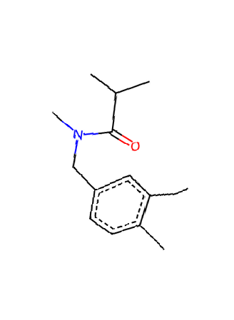 Cc1ccc(CN(C)C(=O)C(C)C)cc1C